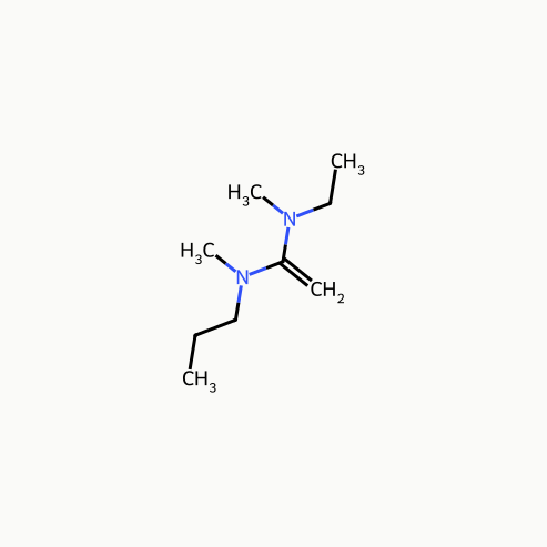 C=C(N(C)CC)N(C)CCC